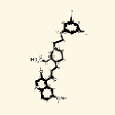 COc1ccc2ncc(Cl)c(C(=O)CC[C@@H]3CCN(CCSc4cc(F)cc(F)c4)C[C@@H]3CC(=O)O)c2c1